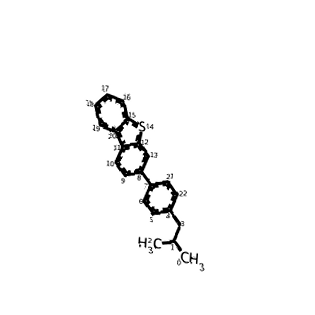 CC(C)Cc1ccc(-c2ccc3c(c2)sc2ccccc23)cc1